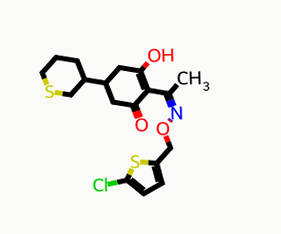 C/C(=N/OCc1ccc(Cl)s1)C1=C(O)CC(C2CCCSC2)CC1=O